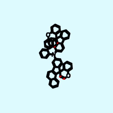 c1ccc(-c2ccccc2N(c2ccc3c(c2)-c2ccc4ccccc4c2C32c3ccccc3Oc3ccccc32)c2ccc3c(c2)C2(c4ccccc4Oc4ccccc42)c2ccccc2-3)cc1